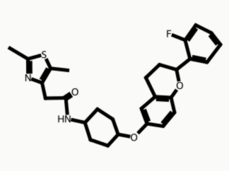 Cc1nc(CC(=O)NC2CCC(Oc3ccc4c(c3)CCC(c3ccccc3F)O4)CC2)c(C)s1